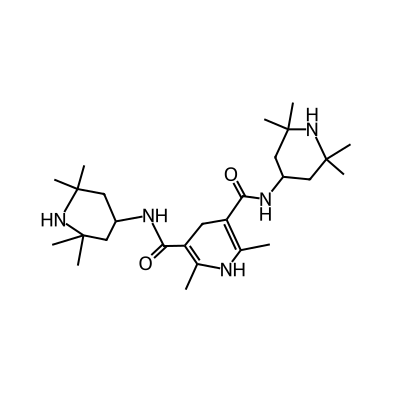 CC1=C(C(=O)NC2CC(C)(C)NC(C)(C)C2)CC(C(=O)NC2CC(C)(C)NC(C)(C)C2)=C(C)N1